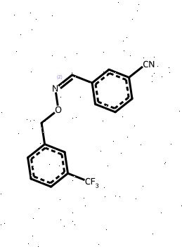 N#Cc1cccc(/[C]=N\OCc2cccc(C(F)(F)F)c2)c1